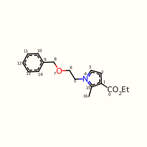 CCOC(=O)c1ccn(CCOCc2ccccc2)c1C